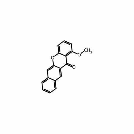 COc1cccc2oc3cc4ccccc4cc3c(=O)c12